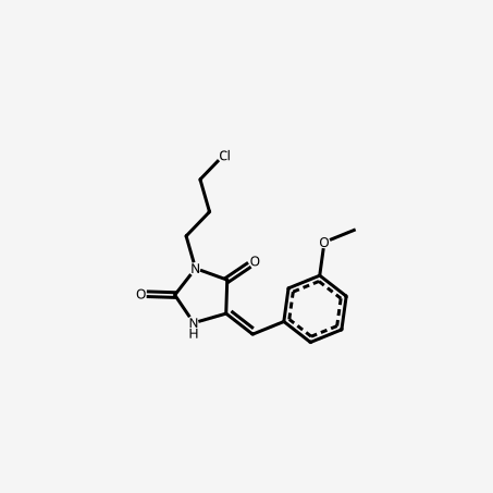 COc1cccc(C=C2NC(=O)N(CCCCl)C2=O)c1